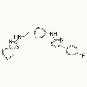 Fc1ccc(-c2csc(Nc3ccc(CCNc4nc5ccccc5s4)cc3)n2)cc1